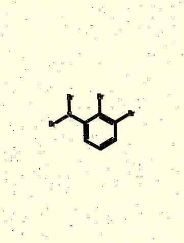 Brc1cccc(N(Br)Br)c1Br